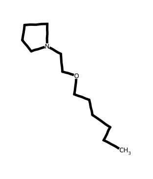 CCCCCCOCCN1CCCC1